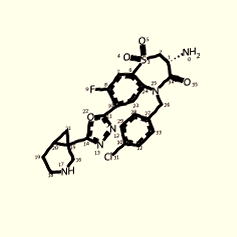 N[C@H]1CS(=O)(=O)c2cc(F)c(-c3nnc(C45CNCCC4C5)o3)cc2N(Cc2ccc(Cl)cc2)C1=O